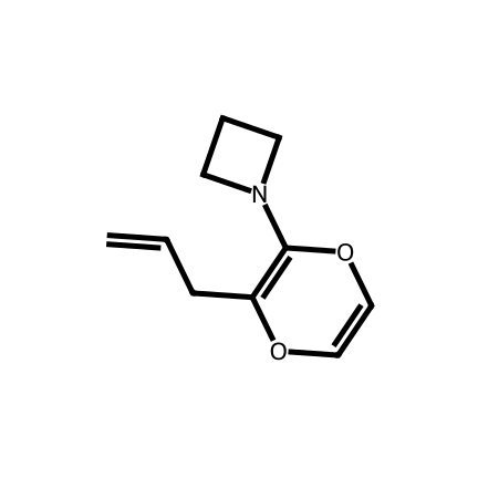 C=CCC1=C(N2CCC2)OC=CO1